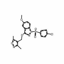 COc1ccc2c(c1)c(OCc1c(C)noc1C)nn2S(=O)(=O)c1ccc(Cl)cc1